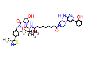 Cc1ncsc1-c1ccc(CNC(=O)[C@@H]2C[C@@H](O)CN2C(=O)[C@@H](NC(=O)CCCCCCCC(=O)N2CCN(c3cc(-c4ccccc4O)nnc3N)CC2)C(C)(C)C)cc1